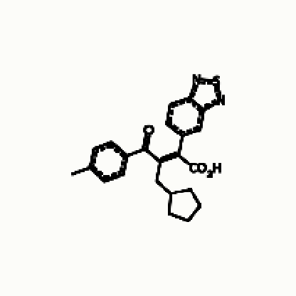 Cc1ccc(C(=O)/C(CC2CCCC2)=C(/C(=O)O)c2ccc3nsnc3c2)cc1